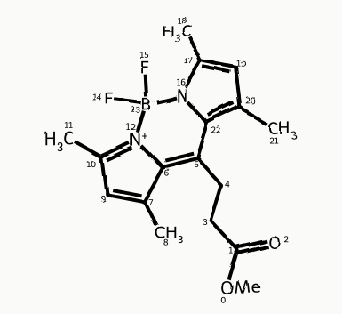 COC(=O)CCC1=C2C(C)=CC(C)=[N+]2[B-](F)(F)n2c(C)cc(C)c21